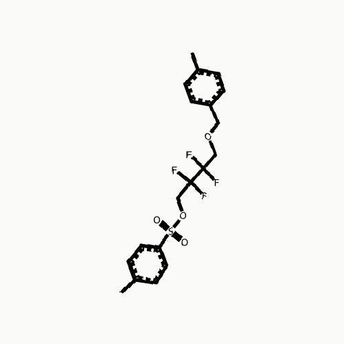 Cc1ccc(COCC(F)(F)C(F)(F)COS(=O)(=O)c2ccc(C)cc2)cc1